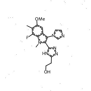 COc1cc2c(-n3ccnc3)c(-c3nnc(CCO)[nH]3)n(C)c2c(F)c1C